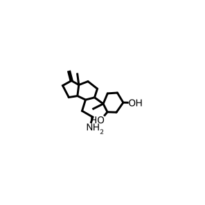 C=C1CCC2C(CCN)C(C3(C)CCC(O)CC3O)CCC12C